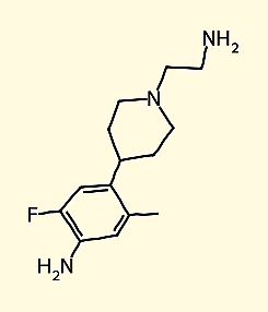 Cc1cc(N)c(F)cc1C1CCN(CCN)CC1